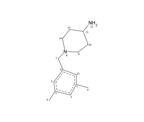 Cc1cc(C)cc(CN2CCC(N)CC2)c1